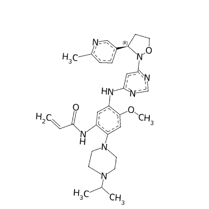 C=CC(=O)Nc1cc(Nc2cc(N3OCC[C@@H]3c3ccc(C)nc3)ncn2)c(OC)cc1N1CCN(C(C)C)CC1